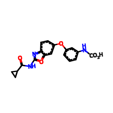 O=C(O)Nc1cccc(Oc2ccc3nc(NC(=O)C4CC4)oc3c2)c1